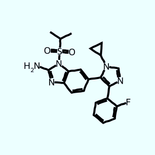 CC(C)S(=O)(=O)n1c(N)nc2ccc(-c3c(-c4ccccc4F)ncn3C3CC3)cc21